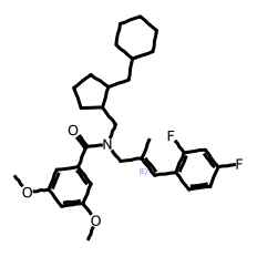 COc1cc(OC)cc(C(=O)N(C/C(C)=C/c2ccc(F)cc2F)CC2CCCC2CC2CCCCC2)c1